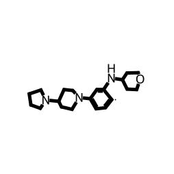 [c]1ccc(N2CCC(N3CCCC3)CC2)cc1NC1CCOCC1